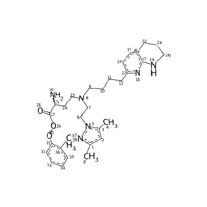 Cc1cc(C)n(CCN(CCCCc2ccc3c(n2)NCCC3)CC[C@H](N)C(=O)OOc2ccccc2C)n1